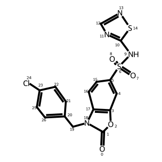 O=c1oc2cc(S(=O)(=O)Nc3ncns3)ccc2n1Cc1ccc(Cl)cc1